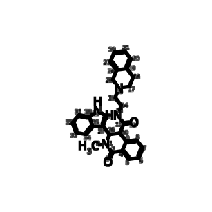 CN1C(=O)c2ccccc2C(C(=O)NCCN2CCc3ccccc3C2)C1c1c[nH]c2ccccc12